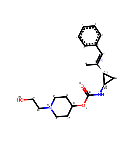 C/C(=C\c1ccccc1)[C@@H]1C[C@H]1NC(=O)OC1CCN(CCO)CC1